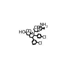 CCC(COCC1(C(N)=O)CC1)N1C(=O)C(CC(=O)O)CC(c2cccc(Cl)c2)C1c1ccc(Cl)cc1